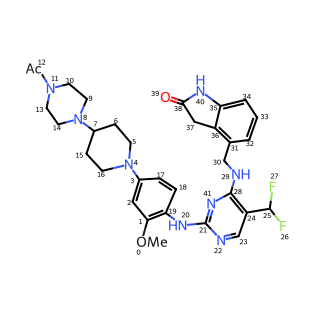 COc1cc(N2CCC(N3CCN(C(C)=O)CC3)CC2)ccc1Nc1ncc(C(F)F)c(NCc2cccc3c2CC(=O)N3)n1